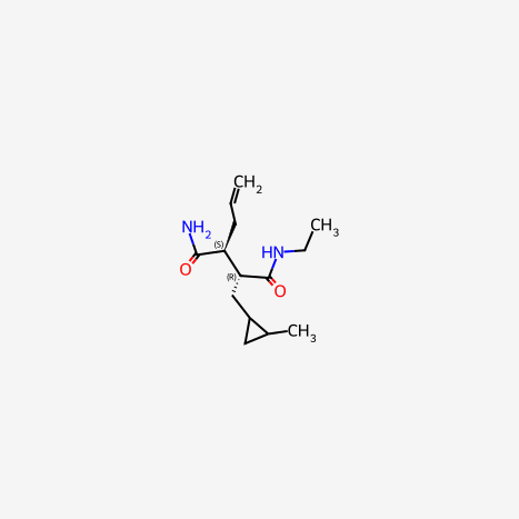 C=CC[C@H](C(N)=O)[C@@H](CC1CC1C)C(=O)NCC